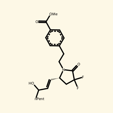 CCCCCC(O)/C=C/[C@H]1CC(F)(F)C(=O)N1CCc1ccc(C(=O)OC)cc1